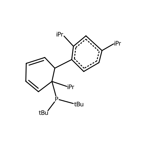 CC(C)c1ccc(C2C=CC=CC2(C(C)C)P(C(C)(C)C)C(C)(C)C)c(C(C)C)c1